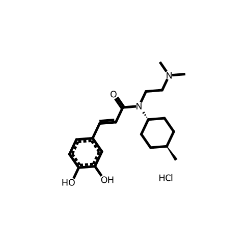 CN(C)CCN(C(=O)/C=C/c1ccc(O)c(O)c1)[C@H]1CC[C@H](C)CC1.Cl